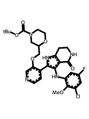 COc1c(Cl)cc(F)cc1Nc1c(-c2ccncc2OCC2CN(C(=O)OC(C)(C)C)CCO2)[nH]c2c1C(=O)NCC2